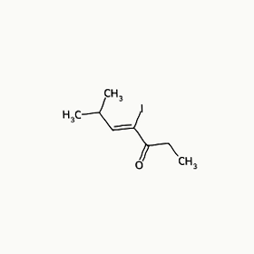 CCC(=O)/C(I)=C/C(C)C